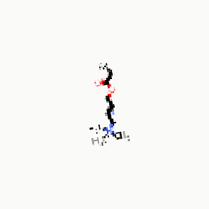 CC(=O)CC(=O)OC/C=C/C[N+](C)(C)C